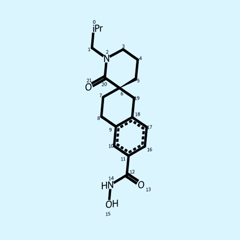 CC(C)CN1CCC[C@@]2(CCc3cc(C(=O)NO)ccc3C2)C1=O